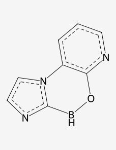 B1Oc2ncccc2-n2ccnc21